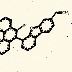 C=Cc1ccc2c(c1)oc1c(-c3c(Br)c4ccccc4c4ccccc34)cccc12